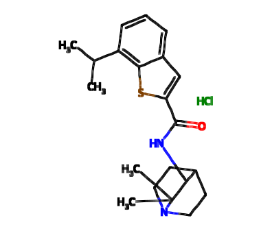 CC(C)c1cccc2cc(C(=O)NC3C4CCN(CC4)C3(C)C)sc12.Cl